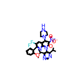 COc1cccc(F)c1-c1nc2c(cc1F)c(N1CCNCC1)c([N+](=O)[O-])c(=O)n2-c1c(C(C)C)ncnc1C(C)C